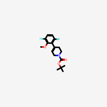 COc1c(F)ccc(F)c1C1=CCN(C(=O)OC(C)(C)C)CC1